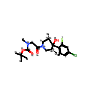 Cc1cc(Cl)cc(F)c1C1(O)[C@H](C)CN(C(=O)CN(C)C(=O)OC(C)(C)C)C[C@@H]1C